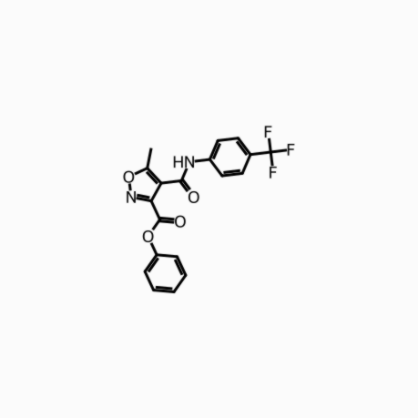 Cc1onc(C(=O)Oc2ccccc2)c1C(=O)Nc1ccc(C(F)(F)F)cc1